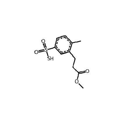 COC(=O)CCc1cc(S(=O)(=O)S)ccc1C